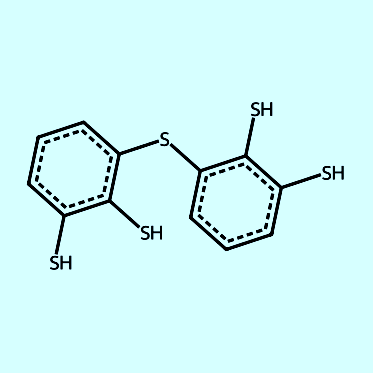 Sc1cccc(Sc2cccc(S)c2S)c1S